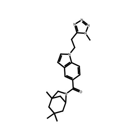 Cn1nnnc1CCn1ccc2cc(C(=O)N3CC4(C)CC3CC(C)(C)C4)ccc21